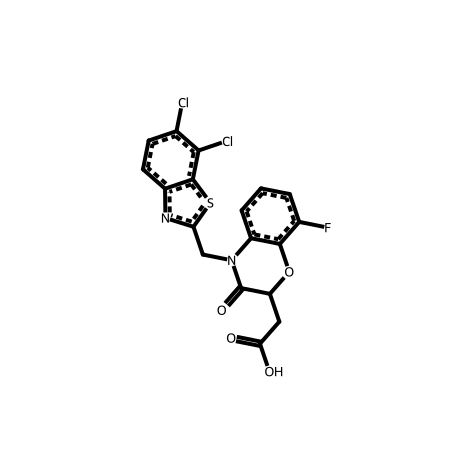 O=C(O)CC1Oc2c(F)cccc2N(Cc2nc3ccc(Cl)c(Cl)c3s2)C1=O